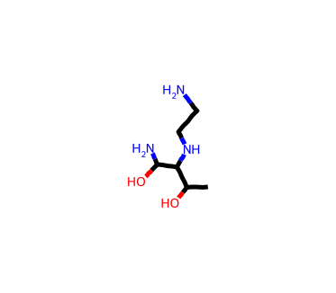 CC(O)C(NCCN)C(N)O